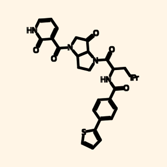 CC(C)CC(NC(=O)c1ccc(-c2cccs2)cc1)C(=O)N1CCC2C1C(=O)CN2C(=O)c1ccc[nH]c1=O